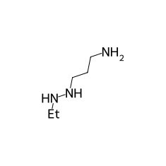 CCNNCCCN